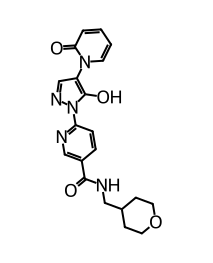 O=C(NCC1CCOCC1)c1ccc(-n2ncc(-n3ccccc3=O)c2O)nc1